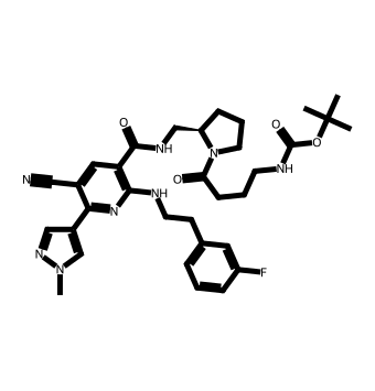 Cn1cc(-c2nc(NCCc3cccc(F)c3)c(C(=O)NC[C@H]3CCCN3C(=O)CCCNC(=O)OC(C)(C)C)cc2C#N)cn1